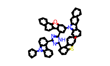 c1ccc(-n2c3ccccc3c3c(C4=NC(c5cccc6sc7ccccc7c56)NC(c5cc(-n6c7ccccc7c7cc8ccccc8cc76)cc6oc7c8ccccc8ccc7c56)=N4)cccc32)cc1